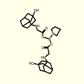 O=C(CNC12CC3CC(CC(O)(C3)C1)C2)OB(OC(=O)CNC12CC3CC(CC(O)(C3)C1)C2)N1CCCC1